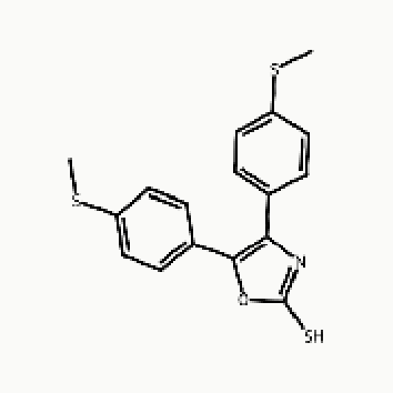 CSc1ccc(-c2nc(S)oc2-c2ccc(SC)cc2)cc1